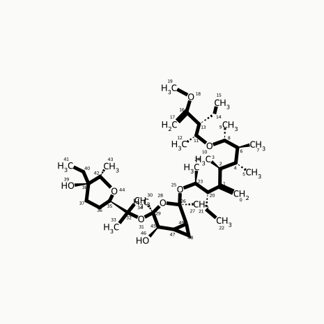 C=C([C@@H](C)[C@@H](C)[C@H](C)[C@@H](C)O[C@H](C)[C@@H](CC)C(=C)OC)[C@H](CC)[C@H](C)O[C@]1(C)O[C@](C)(OC(C)(C)[C@H]2CC[C@](O)(CC)[C@H](C)O2)[C@H](O)C2CC21